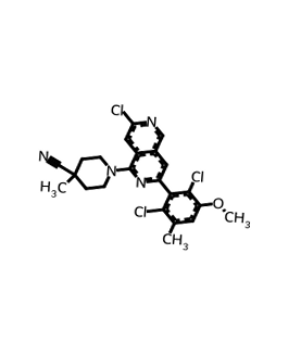 COc1cc(C)c(Cl)c(-c2cc3cnc(Cl)cc3c(N3CCC(C)(C#N)CC3)n2)c1Cl